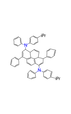 CC(C)c1ccc(N(C2=CC(c3ccccc3)C3C=CC4c5c(ccc2c53)C(c2ccccc2)=CC4N(c2ccccc2)c2ccc(C(C)C)cc2)c2ccccc2)cc1